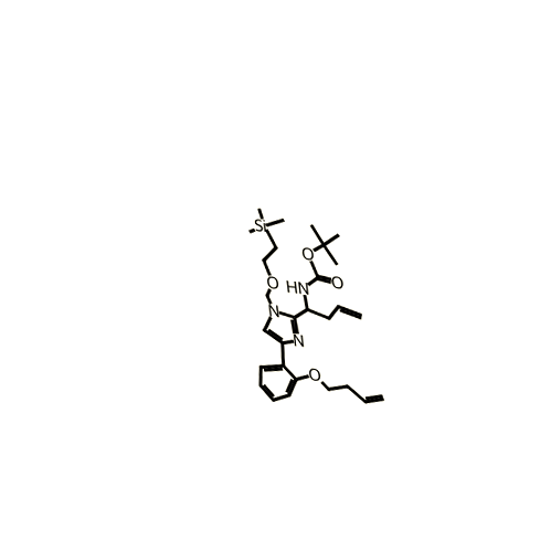 C=CCCOc1ccccc1-c1cn(COCC[Si](C)(C)C)c(C(CC=C)NC(=O)OC(C)(C)C)n1